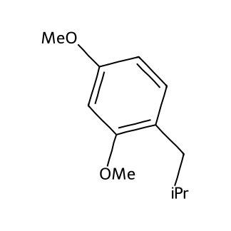 COc1ccc(CC(C)C)c(OC)c1